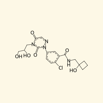 O=C(NCC1(O)CCC1)c1cc(-n2ncc(=O)n(CC(O)CO)c2=O)ccc1Cl